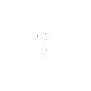 Cc1cc(-c2cc(C(N)=O)c3[nH]cc([C@@H]4CCS(O)(O)C4)c3c2)ccc1F